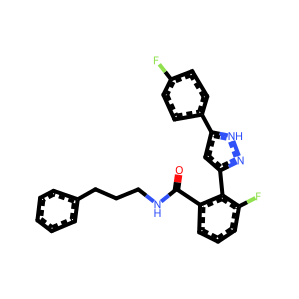 O=C(NCCCc1ccccc1)c1cccc(F)c1-c1cc(-c2ccc(F)cc2)[nH]n1